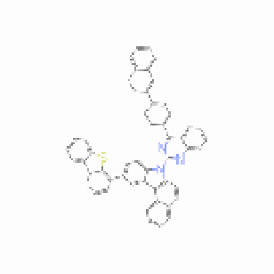 C1=CC(c2ccc3c(c2)c2c4ccccc4ccc2n3-c2nc(C3=CC=C(C4=Cc5ccccc5CC4)CC3)c3ccccc3n2)=C2Sc3ccccc3C2C1